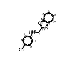 Clc1ccc(NCc2nc3ccccc3o2)cc1